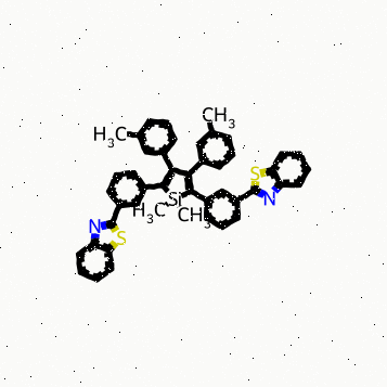 Cc1cccc(C2=C(c3cccc(-c4nc5ccccc5s4)c3)[Si](C)(C)C(c3cccc(-c4nc5ccccc5s4)c3)=C2c2cccc(C)c2)c1